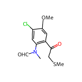 COc1cc(C(=O)CSC)c(N(C)C=O)cc1Cl